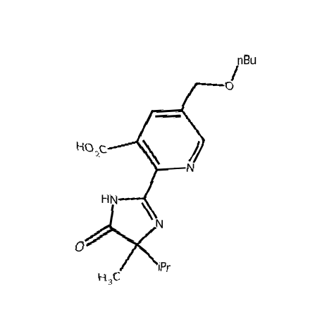 CCCCOCc1cnc(C2=NC(C)(C(C)C)C(=O)N2)c(C(=O)O)c1